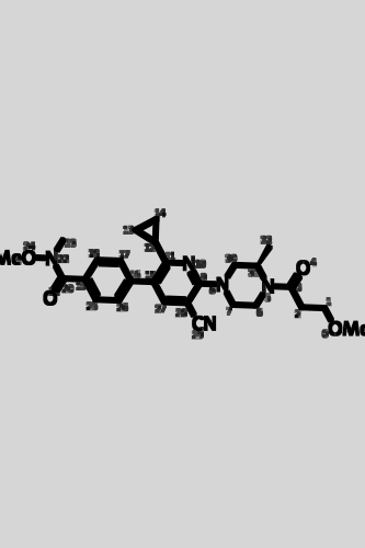 COCCC(=O)N1CCN(c2nc(C3CC3)c(-c3ccc(C(=O)N(C)OC)cc3)cc2C#N)C[C@H]1C